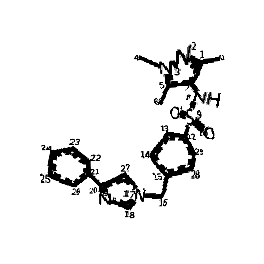 Cc1nn(C)c(C)c1NS(=O)(=O)c1ccc(Cn2cnc(-c3ccccc3)c2)cc1